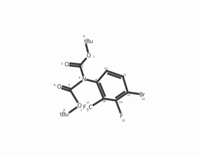 CC(C)(C)OC(=O)N(C(=O)OC(C)(C)C)c1ccc(Br)c(F)c1C(F)(F)F